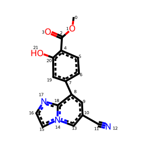 COC(=O)c1ccc(-c2cc(C#N)cn3ccnc23)cc1O